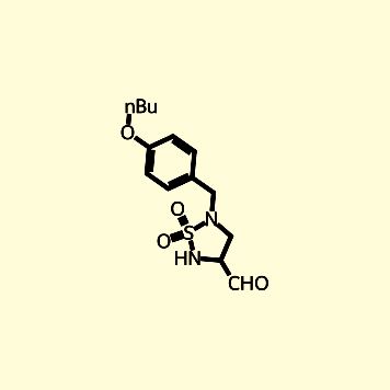 CCCCOc1ccc(CN2CC(C=O)NS2(=O)=O)cc1